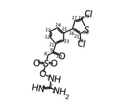 N=C(N)NOS(=O)(=O)CC(=O)c1cccc(-c2cc(Cl)sc2Cl)c1